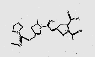 C/N=C(/CC1CC(C)N(C(=N)CC2CC(C(=O)O)N(C(C)=N)C2)C1)N1CCCC1